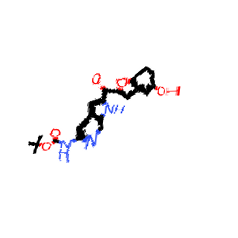 CC(C)(C)OC(=O)Nc1cc2cc(C(=O)c3cc4cc(O)ccc4o3)[nH]c2cn1